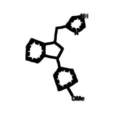 COc1ccc(C2CC(Cc3c[nH]cn3)c3ccccc32)cc1